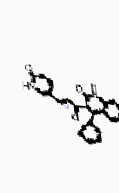 O=C(/C=C/c1ccc(=O)[nH]c1)c1c(-c2ccccc2)c2ccccc2[nH]c1=O